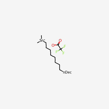 CCCCCCCCCCCCCCCCC[CH2][Sn+]([CH3])[CH3].O=C([O-])C(F)(F)F